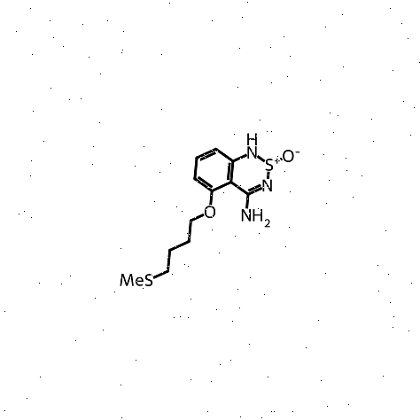 CSCCCCOc1cccc2c1C(N)=N[S+]([O-])N2